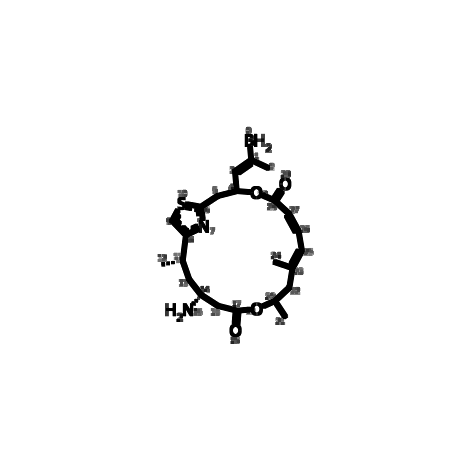 B/C(C)=C/C1Cc2nc(cs2)[C@@H](C)C[C@@H](N)CC(=O)OC(C)C/C(C)=C/C=C\C(=O)O1